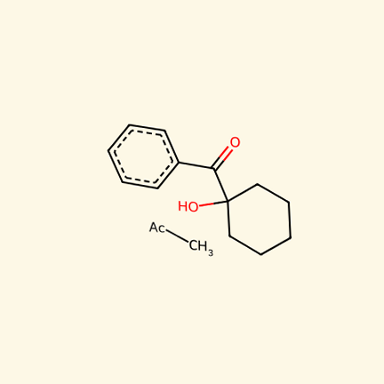 CC(C)=O.O=C(c1ccccc1)C1(O)CCCCC1